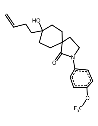 C=CCCC1(O)CCC2(CCN(c3ccc(OC(F)(F)F)cc3)C2=O)CC1